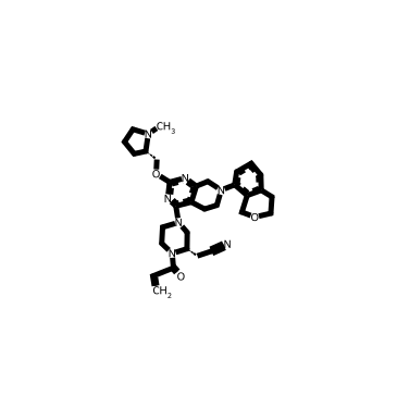 C=CC(=O)N1CCN(c2nc(OC[C@@H]3CCCN3C)nc3c2CCN(c2cccc4c2COCC4)C3)C[C@@H]1CC#N